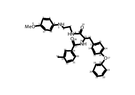 COc1ccc(NCCNC(=O)C(Cc2ccc(Oc3ccccc3)cc2)NC(=O)c2cccc(C)c2)cc1